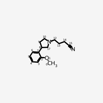 COc1ccccc1C1CCN(CCCC#N)C1